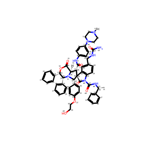 CC(=O)N1CCN(c2ccc(NC(=O)[C@H]3[C@@H]4C(=O)O[C@@H](c5ccccc5)[C@@H](c5ccccc5)N4[C@@H](c4ccc(OCCO)cc4)[C@]34C(=O)N(C(=O)N[C@H](C)c3ccccc3)c3ccc(CNC(N)=O)cc34)cc2)CC1